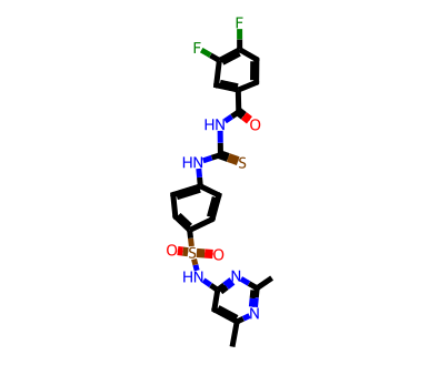 Cc1cc(NS(=O)(=O)c2ccc(NC(=S)NC(=O)c3ccc(F)c(F)c3)cc2)nc(C)n1